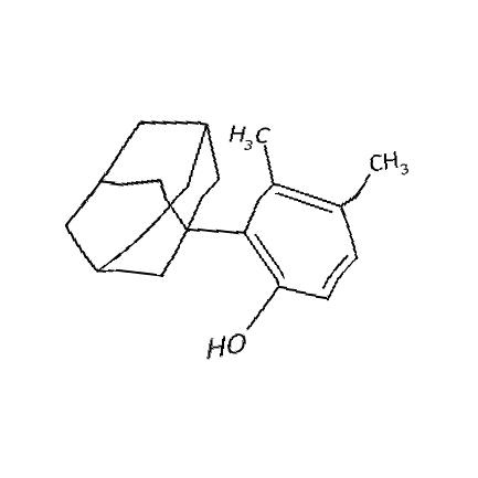 Cc1ccc(O)c(C23CC4CC(CC(C4)C2)C3)c1C